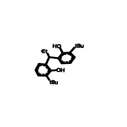 C[C]C(c1cccc(C(C)(C)C)c1O)c1cccc(C(C)(C)C)c1O